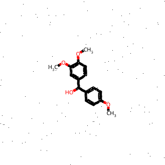 COc1ccc(C(O)c2ccc(OC)c(OC)c2)cc1